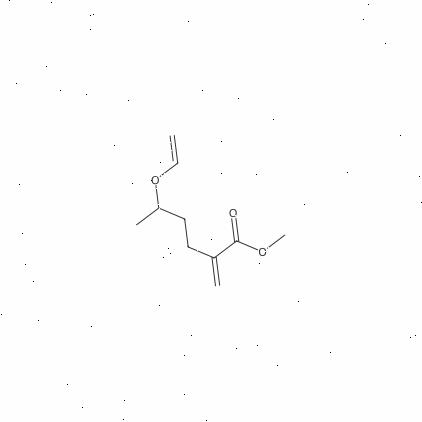 C=COC(C)CCC(=C)C(=O)OC